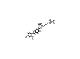 C=C(C)C(=O)OCCCCC(O)COc1ccc2cc(-c3ccc(C)cc3CC)sc2c1